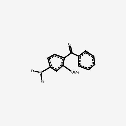 CCN(CC)c1ccc(C(=O)c2ccccc2)c(OC)c1